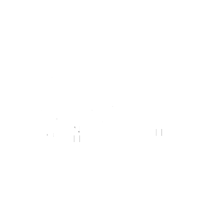 Cc1ccc(-c2cc3cc(F)ccc3c(=O)[nH]2)cc1